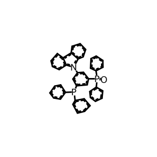 O=P(c1ccccc1)(c1ccccc1)c1cc(-n2c3ccccc3c3ccccc32)cc(P(c2ccccc2)c2ccccc2)c1